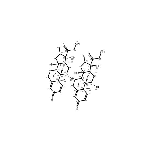 C[C@@H]1C[C@H]2[C@@H]3CCC4=CC(=O)C=C[C@]4(C)[C@@]3(F)[C@@H](O)C[C@]2(C)[C@@]1(O)C(=O)CO.C[C@@H]1C[C@H]2[C@@H]3CCC4=CC(=O)C=C[C@]4(C)[C@@]3(F)[C@@H](O)C[C@]2(C)[C@@]1(O)C(=O)CO